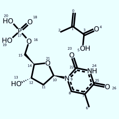 C=C(C)C(=O)O.Cc1cn([C@H]2C[C@H](O)[C@@H](COP(=O)(O)O)O2)c(=O)[nH]c1=O